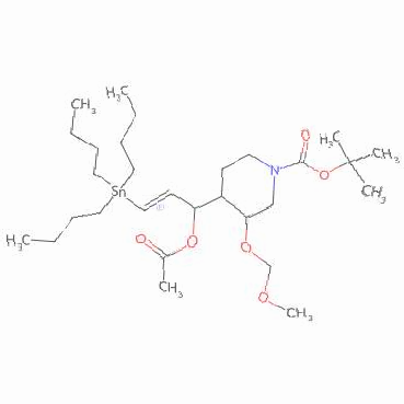 CCC[CH2][Sn](/[CH]=C/C(OC(C)=O)C1CCN(C(=O)OC(C)(C)C)CC1OCOC)([CH2]CCC)[CH2]CCC